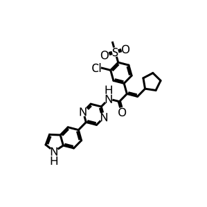 CS(=O)(=O)c1ccc(/C(=C\C2CCCC2)C(=O)Nc2cnc(-c3ccc4[nH]ccc4c3)cn2)cc1Cl